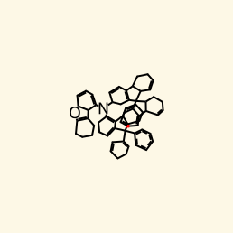 C1=CCC2C(=C1)C1C=CCCC1C21C2=C(C=CC(N(C3=CC=CC4OC5=C(CCCC5)C34)C3=C4C(=CCC3)C(C3=CCCC=C3)(c3ccccc3)C3CCC=CC43)C2)C2CCC=CC21